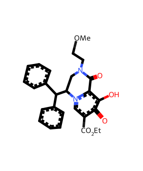 CCOC(=O)c1cn2c(c(O)c1=O)C(=O)N(CCOC)CC2C(c1ccccc1)c1ccccc1